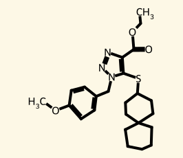 CCOC(=O)c1nnn(Cc2ccc(OC)cc2)c1SC1CCC2(CCCCC2)CC1